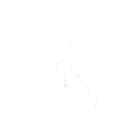 CCOC(=O)c1c[nH]c2c(OC)cc(CCCF)cc2c1=O